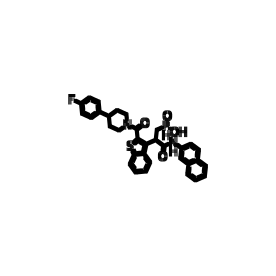 O=C(Nc1ccc2ccccc2c1)C(C[PH](=O)O)c1c(C(=O)N2CCC(c3ccc(F)cc3)CC2)sc2ccccc12